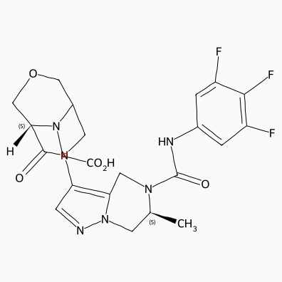 C[C@H]1Cn2ncc(N3CC4COC[C@@H](C3=O)N4CC(=O)O)c2CN1C(=O)Nc1cc(F)c(F)c(F)c1